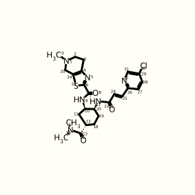 CN1CCc2nc(C(=O)N[C@@H]3C[C@@H](C(=O)N(C)C)CC[C@@H]3NC(=O)C=Cc3ccc(Cl)cn3)sc2C1